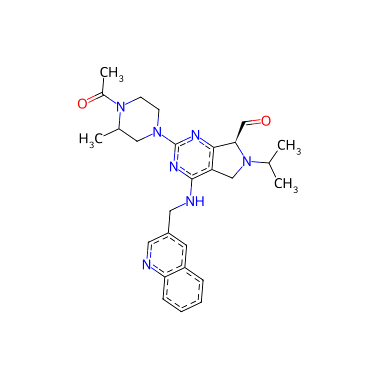 CC(=O)N1CCN(c2nc(NCc3cnc4ccccc4c3)c3c(n2)[C@@H](C=O)N(C(C)C)C3)CC1C